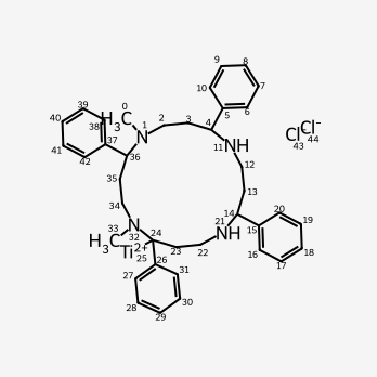 CN1CCC(c2ccccc2)NCCC(c2ccccc2)NCC[C]([Ti+2])(c2ccccc2)N(C)CCC1c1ccccc1.[Cl-].[Cl-]